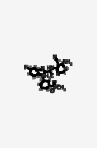 CC(Nc1ncnc(N)c1C#N)c1nc2cc(F)ccc2n1-c1cccc(S(C)(=O)=O)c1